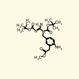 COC(=O)Cc1cc(CN(C(=O)OC(C)(C)C)C(N)=NC(=O)OC(C)(C)C)ccc1N